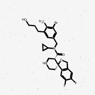 Cc1c(Br)cc(CN(C(=O)[C@H]2CNCC[C@@]23OCc2cc(F)c(F)cc23)C2CC2)cc1CCCO